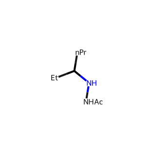 CCCC(CC)NNC(C)=O